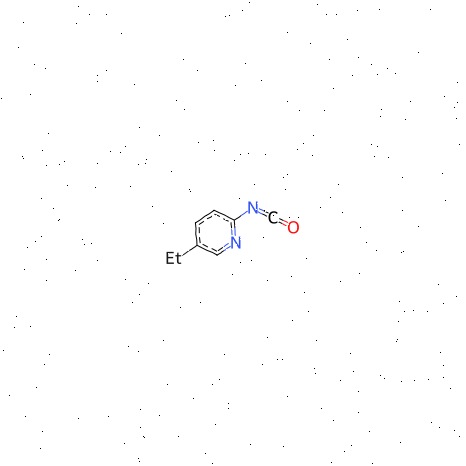 CCc1ccc(N=C=O)nc1